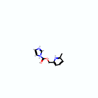 Cc1cccc(COC(=O)n2ccnc2)n1